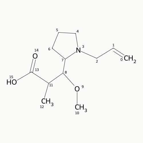 C=CCN1CCCC1C(OC)C(C)C(=O)O